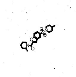 CC1CCN(S(=O)(=O)c2ccc3oc(C(=O)N4CCCCC4C)cc3c2)CC1